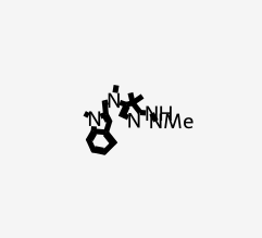 CNNC1=NC=C(N(C)Cc2cc3ccccc3n2C)C1(C)C